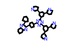 c1ccc(-c2nc3ccccc3nc2-c2ccc(-c3nc(-c4cc(-c5cccnc5)cc(-c5cccnc5)c4)nc(-c4cc(-c5cccnc5)cc(-c5cccnc5)c4)n3)cc2)cc1